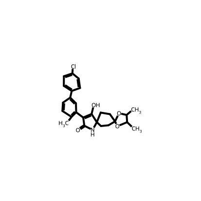 Cc1ccc(-c2ccc(Cl)cc2)cc1C1=C(O)C2(CCC3(CC2)OC(C)C(C)O3)NC1=O